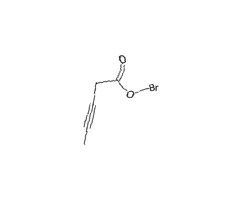 CC#CCC(=O)OBr